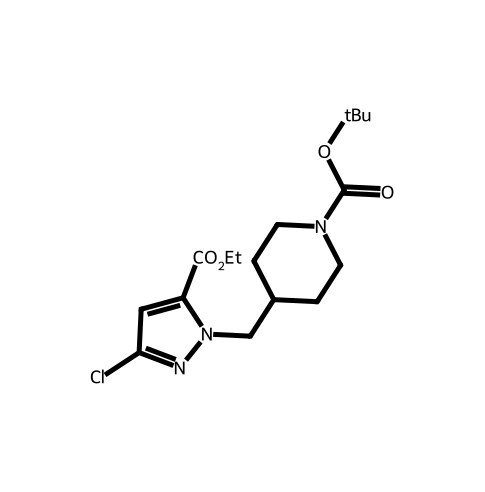 CCOC(=O)c1cc(Cl)nn1CC1CCN(C(=O)OC(C)(C)C)CC1